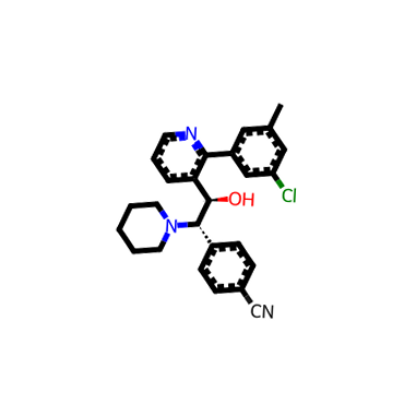 Cc1cc(Cl)cc(-c2ncccc2[C@@H](O)[C@H](c2ccc(C#N)cc2)N2CCCCC2)c1